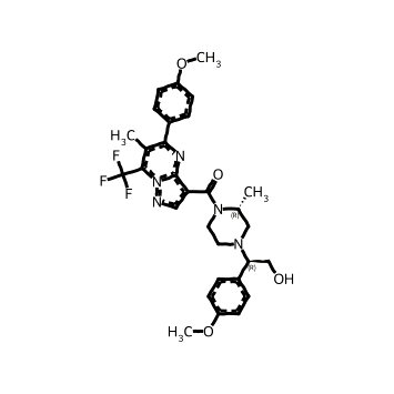 COc1ccc(-c2nc3c(C(=O)N4CCN([C@@H](CO)c5ccc(OC)cc5)C[C@H]4C)cnn3c(C(F)(F)F)c2C)cc1